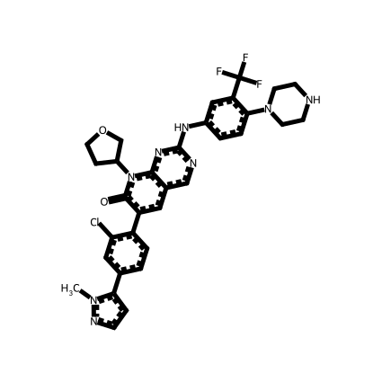 Cn1nccc1-c1ccc(-c2cc3cnc(Nc4ccc(N5CCNCC5)c(C(F)(F)F)c4)nc3n(C3CCOC3)c2=O)c(Cl)c1